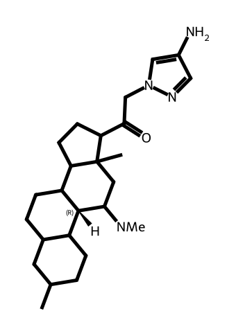 CNC1CC2(C)C(C(=O)Cn3cc(N)cn3)CCC2C2CCC3CC(C)CCC3[C@@H]12